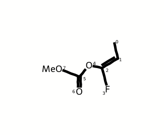 C/C=C(/F)OC(=O)OC